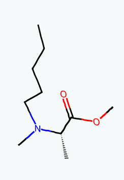 CCCCCN(C)[C@@H](C)C(=O)OC